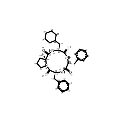 O=C1N[C@H](Cc2ccccc2)C(=O)N[C@@H](Cc2ccccc2)C(=O)N2CCC[C@@H]2C(=O)N[C@H]1CC1CCCCC1